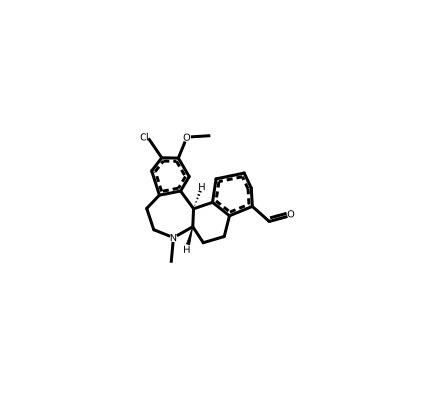 COc1cc2c(cc1Cl)CCN(C)[C@H]1CCc3c(C=O)cccc3[C@H]21